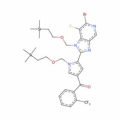 C[Si](C)(C)CCOCn1cc(C(=O)c2ccccc2C(F)(F)F)cc1-c1nc2cnc(Br)c(F)c2n1COCC[Si](C)(C)C